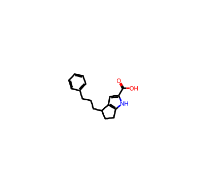 O=C(O)c1cc2c([nH]1)CCC2CCCc1ccccc1